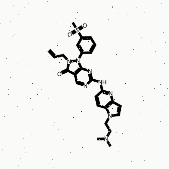 C=CCn1c(=O)c2cnc(Nc3ccc4c(ccn4CCN(C)C)n3)nc2n1-c1cccc(S(C)(=O)=O)c1